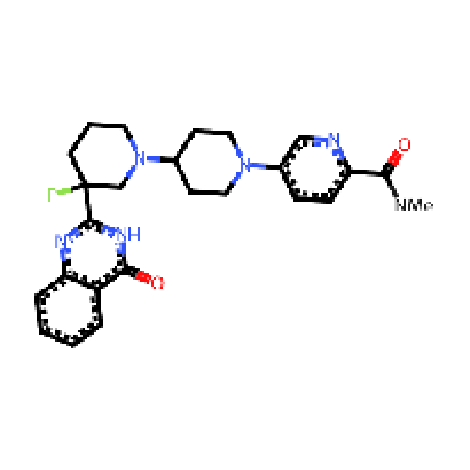 CNC(=O)c1ccc(N2CCC(N3CCCC(F)(c4nc5ccccc5c(=O)[nH]4)C3)CC2)cn1